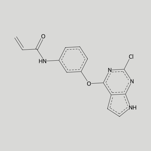 C=CC(=O)Nc1cccc(Oc2nc(Cl)nc3[nH]ccc23)c1